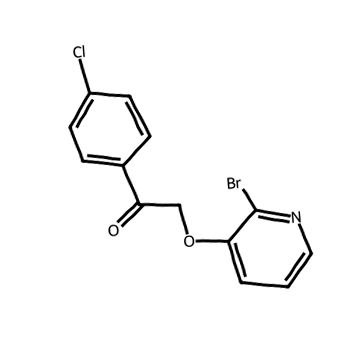 O=C(COc1cccnc1Br)c1ccc(Cl)cc1